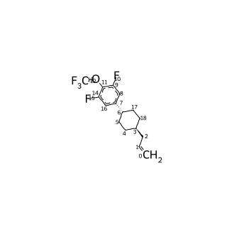 C=CC[C@H]1CC[C@H](c2cc(F)c(OC(F)(F)F)c(F)c2)CC1